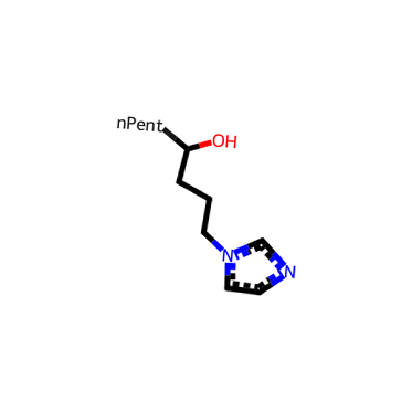 CCCCCC(O)CCCn1ccnc1